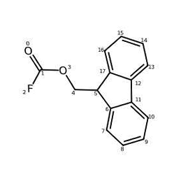 O=C(F)OCC1c2ccccc2-c2ccccc21